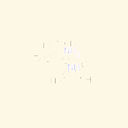 CC1C=CC(Nc2ccc([C@H](C(N)C3CC(C)C=CC3C)[C@H](I)Cc3ccc(-c4ccccc4)cc3)cc2)=C(C2=Cc3c(sc4ccccc34)C(C)C2)C1